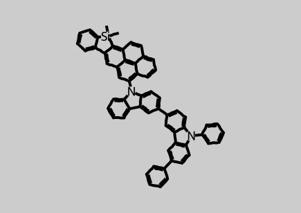 C[Si]1(C)c2ccccc2-c2cc3cc(-n4c5ccccc5c5cc(-c6ccc7c(c6)c6cc(-c8ccccc8)ccc6n7-c6ccccc6)ccc54)c4cccc5ccc(c21)c3c54